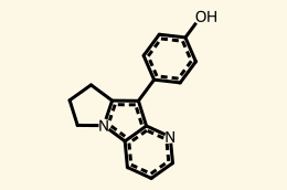 Oc1ccc(-c2c3n(c4cccnc24)CCC3)cc1